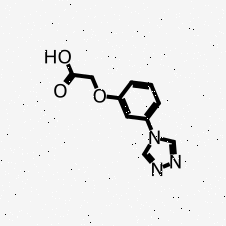 O=C(O)COc1cccc(-n2cnnc2)c1